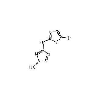 Cn1nnc(Nc2ncc(Br)s2)n1